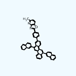 Cc1ccc2oc(-c3ccc(-c4ccc5c(c4)c(-c4ccc6ccccc6c4)cc4c6ccccc6c(-c6ccc7ccccc7c6)cc54)cc3)nc2n1